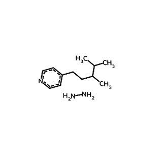 CC(C)C(C)CCc1ccncc1.NN